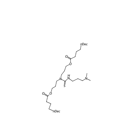 CCCCCCCCCCCCCC(=O)OCCCN(CCCOC(=O)CCCCCCCCCCCCC)C(=S)NCCCN(C)C